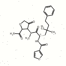 CN(C(=O)[C@H](CC(C)(C)CCc1ccccc1)NC(=O)c1ccoc1)C1C(=O)COC1C(N)=O